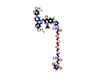 Cc1ccc(N2CCC[C@H](N(Cc3ccnc(C)c3)Cc3cn(C4CC4)c4cc(N5CC[C@H](CNC(=O)CCOCCOCCOCCOCCNC(=O)CCN6C(=O)C=CC6=O)C5)c(F)cc4c3=O)C2)cn1